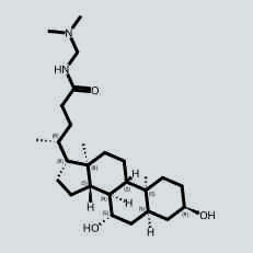 C[C@H](CCC(=O)NCN(C)C)[C@H]1CC[C@H]2[C@@H]3[C@@H](O)C[C@@H]4C[C@H](O)CC[C@]4(C)[C@H]3CC[C@]12C